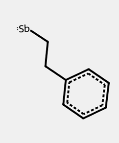 [Sb][CH2]Cc1ccccc1